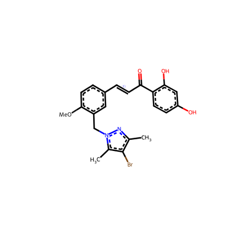 COc1ccc(/C=C/C(=O)c2ccc(O)cc2O)cc1Cn1nc(C)c(Br)c1C